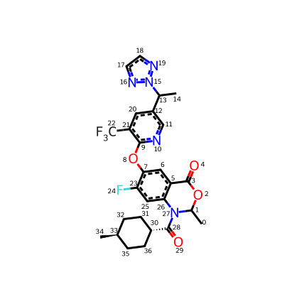 CC1OC(=O)c2cc(Oc3ncc(C(C)n4nccn4)cc3C(F)(F)F)c(F)cc2N1C(=O)[C@H]1CC[C@H](C)CC1